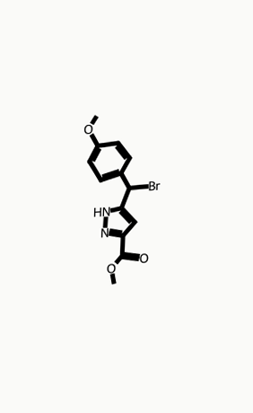 COC(=O)c1cc(C(Br)c2ccc(OC)cc2)[nH]n1